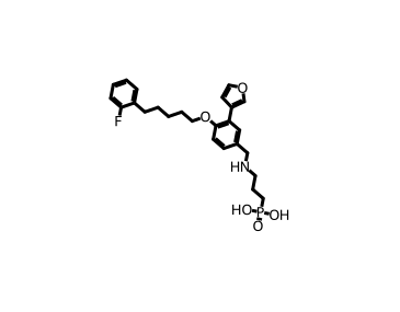 O=P(O)(O)CCCNCc1ccc(OCCCCCc2ccccc2F)c(-c2ccoc2)c1